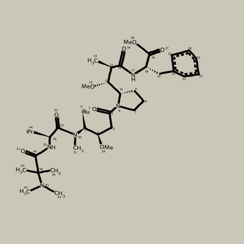 CC[C@H](C)[C@@H]([C@@H](CC(=O)N1CCC[C@H]1[C@H](OC)[C@@H](C)C(=O)N[C@@H](Cc1ccccc1)C(=O)OC)OC)N(C)C(=O)[C@@H](NC(=O)C(C)(C)N(C)C)C(C)C